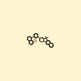 CC1(C)C2=CC(c3cccc4c3Sc3cccc5cccc-4c35)=CCC2c2cc3ccccc3cc21